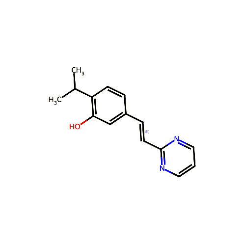 CC(C)c1ccc(/C=C/c2ncccn2)cc1O